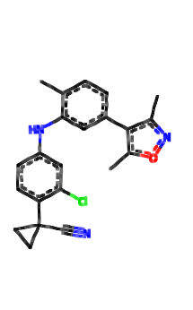 Cc1ccc(-c2c(C)noc2C)cc1Nc1ccc(C2(C#N)CC2)c(Cl)c1